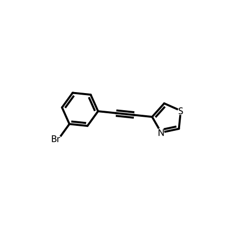 Brc1cccc(C#Cc2cscn2)c1